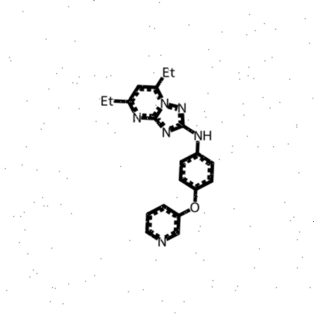 CCc1cc(CC)n2nc(Nc3ccc(Oc4cccnc4)cc3)nc2n1